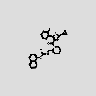 O=C(NC[C@@H]1CCCCN1C(=O)c1nc(C2CC2)sc1-c1ccccc1F)Oc1cccc2cccnc12